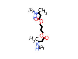 CC(C)NC(C)CC(=O)OCCCCOC(=O)CC(C)NC(C)C